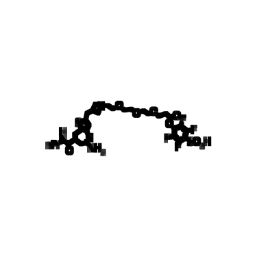 CCCNC(=O)C1=Cc2sc(CC3CN(CCOCCOCCOCCC(=O)Oc4c(F)c(F)c(S(=O)(=O)O)c(F)c4F)C3)cc2N=C(N)C1